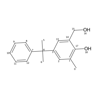 Cc1cc(C(C)(C)c2ccccc2)cc(CO)c1O